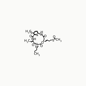 C/C=C1\NC(=O)c2nc(ccc2SC)CNC(=O)C[C@@H](/C=C/CCSC(C)=O)OC(=O)[C@H](CCCCC)NC1=O